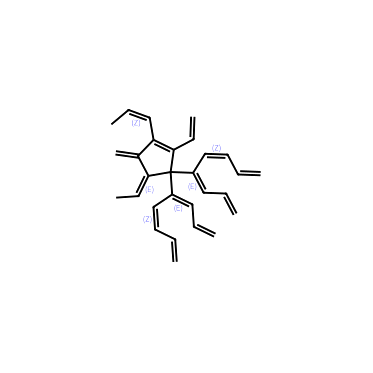 C=C/C=C\C(=C/C=C)C1(C(/C=C\C=C)=C/C=C)C(C=C)=C(/C=C\C)C(=C)/C1=C\C